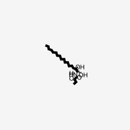 CCCCCCCCCCCCCCC[C@@H](O)[C@H](CO)NC(=O)C(O)CC